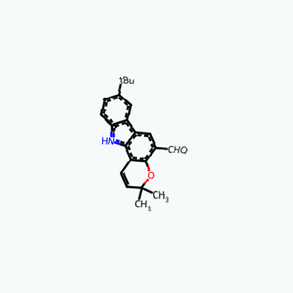 CC1(C)C=Cc2c(c(C=O)cc3c2[nH]c2ccc(C(C)(C)C)cc23)O1